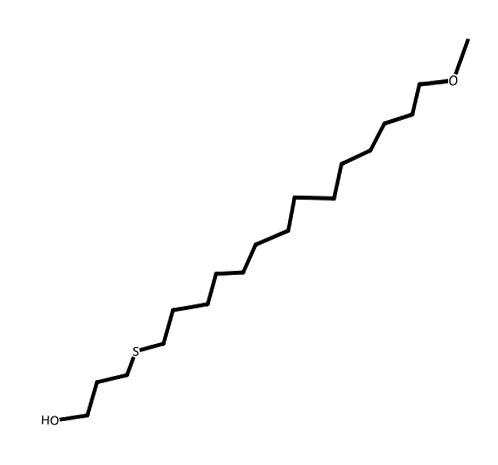 COCCCCCCCCCCCCCCSCCCO